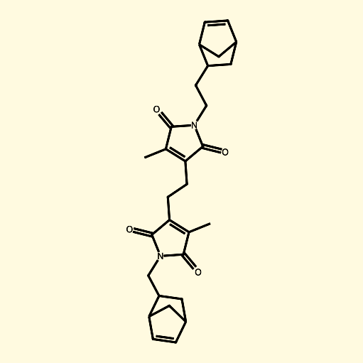 CC1=C(CCC2=C(C)C(=O)N(CC3CC4C=CC3C4)C2=O)C(=O)N(CCC2CC3C=CC2C3)C1=O